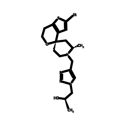 CCc1cc2c(s1)CCO[C@@]21CCN(Cc2cn(C[C@@H](C)O)nn2)[C@@H](C)C1